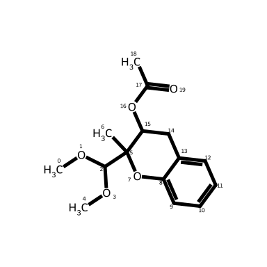 COC(OC)C1(C)Oc2ccccc2CC1OC(C)=O